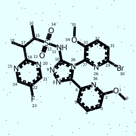 COc1cccc(-c2nnc(NS(=O)(=O)C(C)C(C)c3ncc(F)cn3)n2-c2nc(Br)ccc2OC)n1